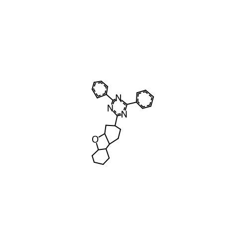 c1ccc(-c2nc(-c3ccccc3)nc(C3CCC4C(C3)OC3CCCCC34)n2)cc1